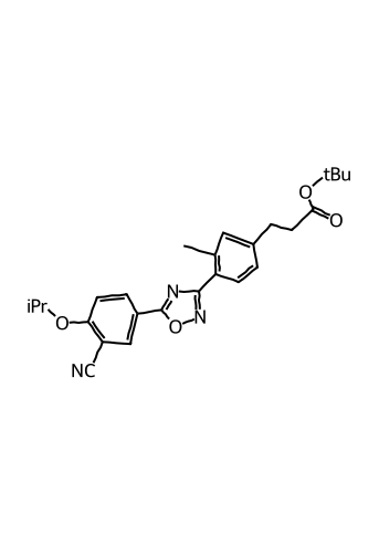 Cc1cc(CCC(=O)OC(C)(C)C)ccc1-c1noc(-c2ccc(OC(C)C)c(C#N)c2)n1